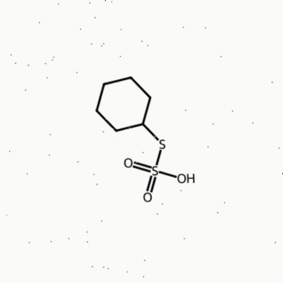 O=S(=O)(O)SC1CCCCC1